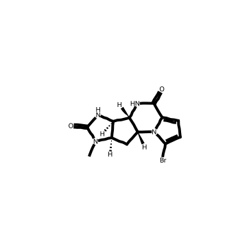 CN1C(=O)N[C@H]2[C@@H]3NC(=O)c4ccc(Br)n4[C@@H]3C[C@H]21